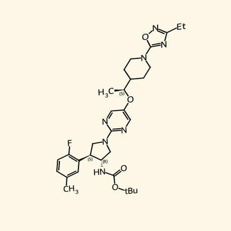 CCc1noc(N2CCC([C@H](C)Oc3cnc(N4C[C@H](NC(=O)OC(C)(C)C)[C@@H](c5cc(C)ccc5F)C4)nc3)CC2)n1